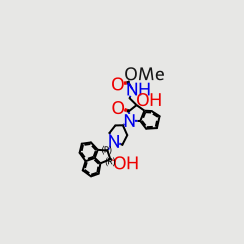 COC(=O)NCC1(O)C(=O)N(C2CCN([C@@H]3c4cccc5cccc(c45)[C@H]3O)CC2)c2ccccc21